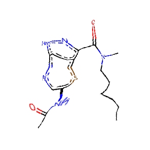 CCCCCN(C)C(=O)c1n[nH]c2nc(NC(C)=O)sc12